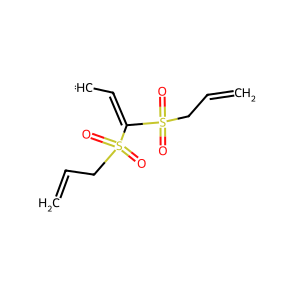 [CH]C=C(S(=O)(=O)CC=C)S(=O)(=O)CC=C